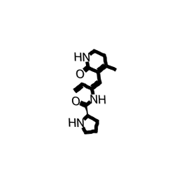 C=C/C(=C\C1=C(C)CCNC1=O)NC(=O)[C@H]1CCCN1